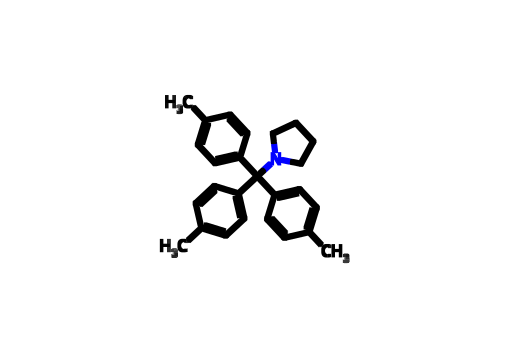 Cc1ccc(C(c2ccc(C)cc2)(c2ccc(C)cc2)N2CCCC2)cc1